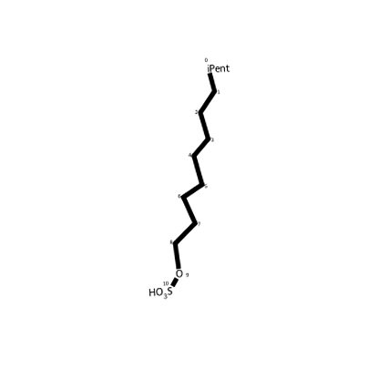 CCCC(C)CCCCCCCCOS(=O)(=O)O